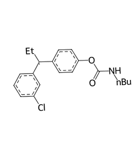 CCCCNC(=O)Oc1ccc([C](CC)c2cccc(Cl)c2)cc1